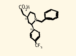 O=C(O)C[C@H]1CCN(Cc2ccccc2)C([C@@H]2C=CC(C(F)(F)F)=CC2)C1